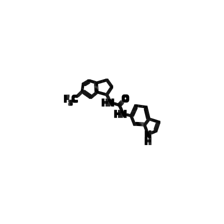 O=C(Nc1ccc2cc[nH]c2c1)NC1CCc2ccc(C(F)(F)F)cc21